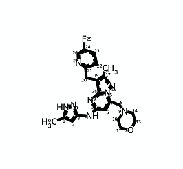 Cc1cc(Nc2cc(CN3CCOCC3)n3nc(C)c(Cc4ccc(F)cn4)c3n2)n[nH]1